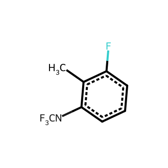 Cc1c(F)cccc1NC(F)(F)F